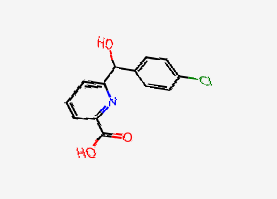 O=C(O)c1cccc(C(O)c2ccc(Cl)cc2)n1